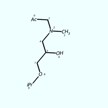 CC(=O)CN(C)CC(O)COC(C)C